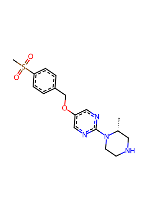 C[C@@H]1CNCCN1c1ncc(OCc2ccc(S(C)(=O)=O)cc2)cn1